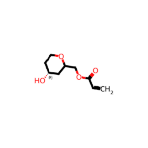 C=CC(=O)OCC1C[C@H](O)CCO1